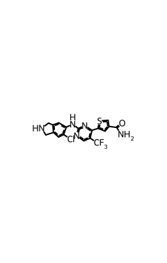 NC(=O)c1csc(-c2nc(Nc3cc4c(cc3Cl)CNC4)ncc2C(F)(F)F)c1